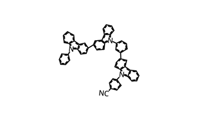 N#Cc1ccc(-n2c3ccccc3c3cc(-c4cccc(-n5c6ccccc6c6cc(-c7ccc8c(c7)c7ccccc7n8-c7ccccc7)ccc65)c4)ccc32)cc1